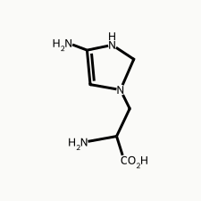 NC1=CN(CC(N)C(=O)O)CN1